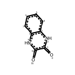 O=c1[nH]c2c[c]ccc2[nH]c1=O